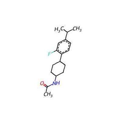 CC(=O)NC1CCC(c2ccc(C(C)C)cc2F)CC1